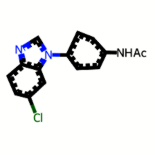 CC(=O)Nc1ccc(-n2cnc3ccc(Cl)cc32)cc1